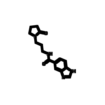 O=C(NCCCN1CCCC1=O)c1ccc2[nH]cnc2c1